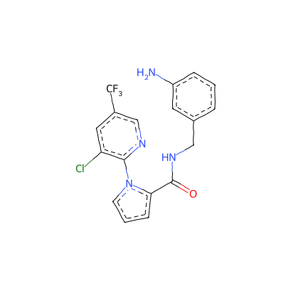 Nc1cccc(CNC(=O)c2cccn2-c2ncc(C(F)(F)F)cc2Cl)c1